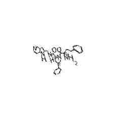 N[C@H](CCc1ccccc1)C(=O)N1C[C@@H](c2ccccc2)C[C@H]1C(=O)NCc1cc2cnccc2[nH]1